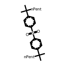 CCCCCC(C)(C)c1ccc(S(=O)(=O)c2ccc(C(C)(C)CCCCC)cc2)cc1